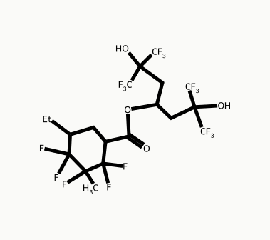 CCC1CC(C(=O)OC(CC(O)(C(F)(F)F)C(F)(F)F)CC(O)(C(F)(F)F)C(F)(F)F)C(F)(F)C(C)(F)C1(F)F